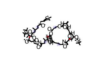 C=C1C[C@@H]2C[C@@H]3C[C@@H](O[Si](C)(C)C(C)(C)C)C[C@@H](O3)c3coc(n3)/C=C/C[C@H]3O[C@@H](/C(C)=C/c4coc(C[C@]5(OC)C[C@H](OC)C[C@H]([C@@H](/C=C(C)/C=C/[C@@H](CC#C[Si](C)(C)C)OC)O[Si](C(C)C)(C(C)C)C(C)C)O5)n4)[C@H](C)[C@@H](OC(=O)/C=C\C[C@@H](C1)O2)[C@H]3C